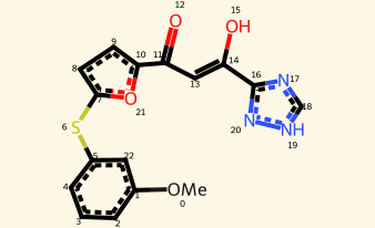 COc1cccc(Sc2ccc(C(=O)C=C(O)c3nc[nH]n3)o2)c1